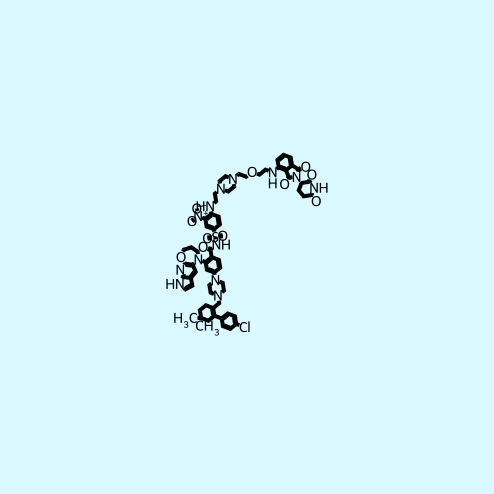 CC1(C)CCC(CN2CCN(c3ccc(C(=O)NS(=O)(=O)c4ccc(NCCN5CCN(CCOCCNc6cccc7c6C(=O)N(C6CCC(=O)NC6=O)C7=O)CC5)c([N+](=O)[O-])c4)c(N4CCCOc5nc6[nH]ccc6cc54)c3)CC2)=C(c2ccc(Cl)cc2)C1